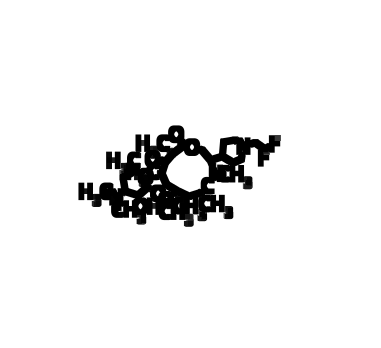 CO[C@]1(C)C[C@@H](C)CN(C)C(C2CCN(CC(F)F)CC2)COC(=O)[C@H](C)C(=O)[C@H](C)[C@H]1O[C@@H]1O[C@H](C)C[C@H](N(C)C)[C@H]1O